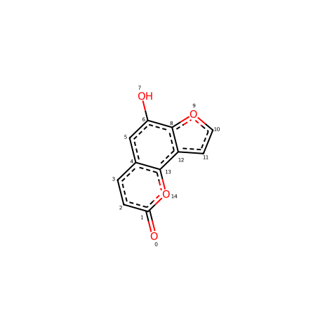 O=c1ccc2cc(O)c3occc3c2o1